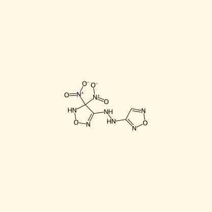 O=[N+]([O-])C1([N+](=O)[O-])NON=C1NNc1cnon1